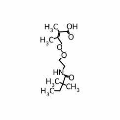 CCC(C)(C)C(=O)NCCOOC/C(C)=C(/C)C(=O)O